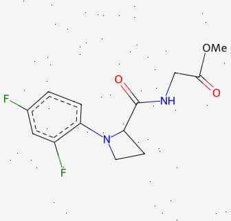 COC(=O)CNC(=O)C1CCN1c1ccc(F)cc1F